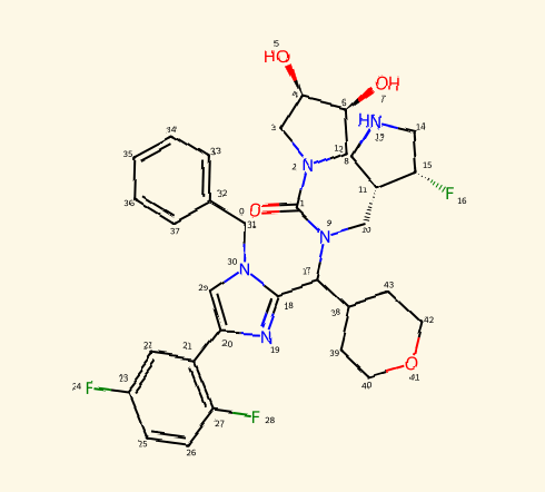 O=C(N1C[C@@H](O)[C@@H](O)C1)N(C[C@@H]1CNC[C@@H]1F)C(c1nc(-c2cc(F)ccc2F)cn1Cc1ccccc1)C1CCOCC1